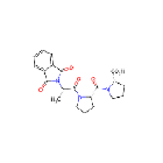 C[C@@H](C(=O)N1CCC[C@H]1C(=O)N1CCC[C@H]1C(=O)O)N1C(=O)c2ccccc2C1=O